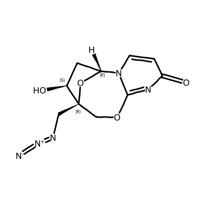 [N-]=[N+]=NC[C@@]12COc3nc(=O)ccn3[C@@H](C[C@@H]1O)O2